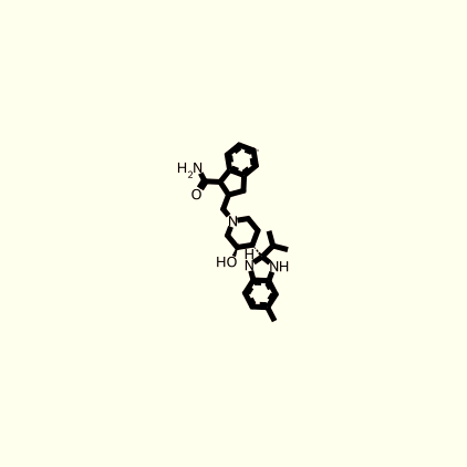 Cc1ccc2c(c1)NC(C(C)C)([C@H]1CCN(CC3Cc4c[c]ccc4C3C(N)=O)C[C@@H]1O)N2